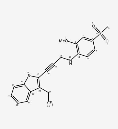 COc1cc(S(C)(=O)=O)ccc1NCC#Cc1sc2ccccc2c1CC(F)(F)F